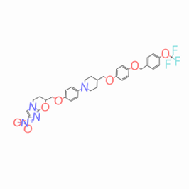 O=[N+]([O-])c1cn2c(n1)OC(COc1ccc(N3CCC(COc4ccc(OCc5ccc(OC(F)(F)F)cc5)cc4)CC3)cc1)CC2